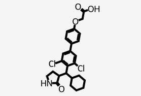 O=C(O)COc1ccc(-c2cc(Cl)c(C(C3CCCCC3)C3CCNC3=O)c(Cl)c2)cc1